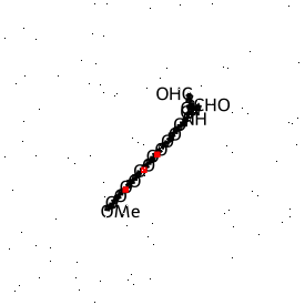 COCCOCCOCCOCCOCCOCCOCCOCCOCCOCCOCCOCCNC(=O)CN(CC=O)C(=O)CCCC=O